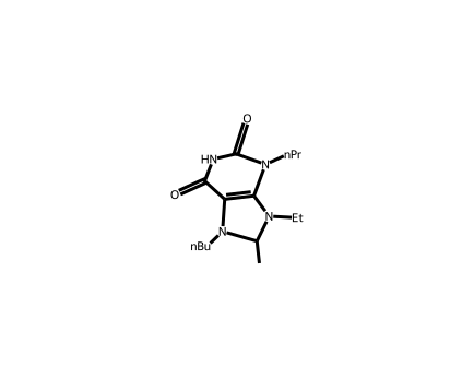 CCCCN1c2c(n(CCC)c(=O)[nH]c2=O)N(CC)C1C